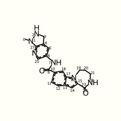 CN1NCc2cc(NC(=O)c3ccc4cc5n(c4c3)CCCNC5=O)cnc21